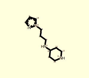 c1cnn(CCCNC2CCNCC2)c1